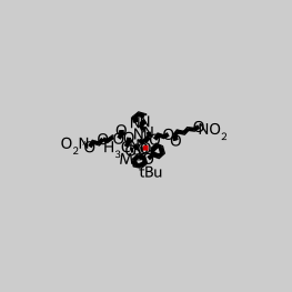 COc1ccccc1Oc1c(OCCOC(=O)CCCCO[N+](=O)[O-])nc(-c2ncccn2)nc1N(C(C)OC(=O)OCCOCCO[N+](=O)[O-])S(=O)(=O)c1ccc(C(C)(C)C)cc1